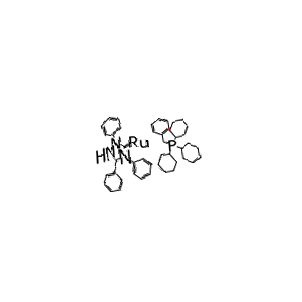 C(c1ccccc1)=P(C1CCCCC1)(C1CCCCC1)C1CCCCC1.[Ru]=[C]1N(c2ccccc2)NC(c2ccccc2)N1c1ccccc1